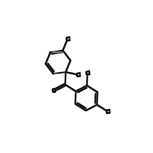 O=C(c1ccc(Cl)cc1Cl)C1(Cl)C=CC=C(Cl)C1